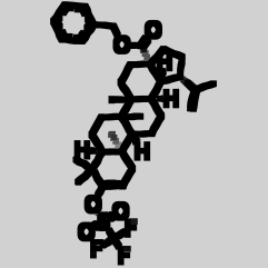 C=C(C)[C@@H]1CC[C@]2(C(=O)OCc3ccccc3)CC[C@]3(C)[C@H](CC[C@H]4C3(C)CC[C@H]3C(C)(C)C(OS(=O)(=O)C(F)(F)F)=CC[C@@]34C)[C@@H]12